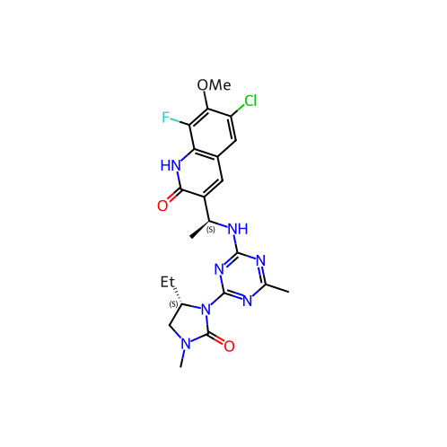 CC[C@H]1CN(C)C(=O)N1c1nc(C)nc(N[C@@H](C)c2cc3cc(Cl)c(OC)c(F)c3[nH]c2=O)n1